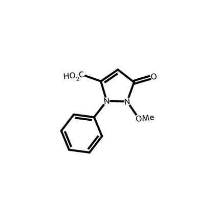 COn1c(=O)cc(C(=O)O)n1-c1ccccc1